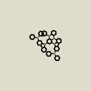 c1ccc(N(c2ccccc2)c2ccc3c4ccccc4n(-c4cc5c6c(c4)-n4c7cc(N(c8ccccc8)c8ccccc8)ccc7c7cccc(c74)B6c4ccccc4N5c4ccccc4)c3c2)cc1